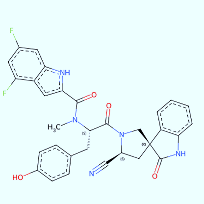 CN(C(=O)c1cc2c(F)cc(F)cc2[nH]1)[C@@H](Cc1ccc(O)cc1)C(=O)N1C[C@]2(C[C@H]1C#N)C(=O)Nc1ccccc12